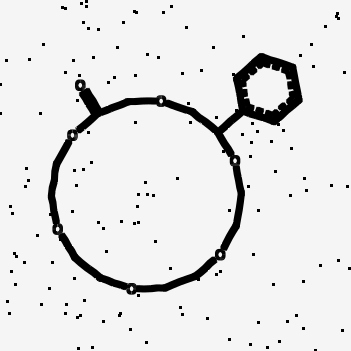 O=C1COCC(c2ccccc2)OCCOCCOCCOCCO1